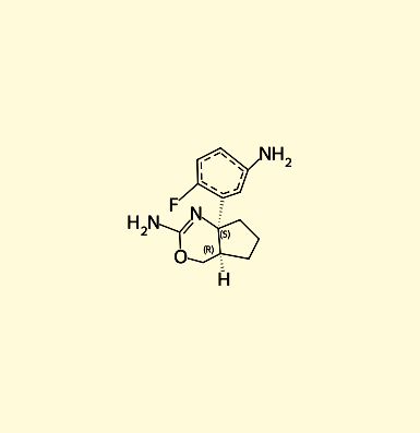 NC1=N[C@@]2(c3cc(N)ccc3F)CCC[C@H]2CO1